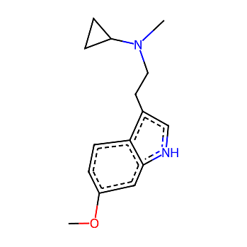 COc1ccc2c(CCN(C)C3CC3)c[nH]c2c1